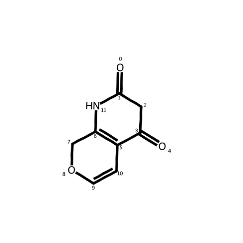 O=C1CC(=O)C2=C(COC=C2)N1